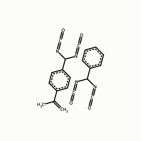 C=C(C)c1ccc(C(N=C=O)N=C=O)cc1.O=C=NC(N=C=O)c1ccccc1